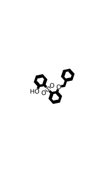 O=S(=O)(c1ccccc1O)c1ccccc1OCc1ccccc1